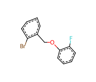 Fc1ccccc1OCc1ccccc1Br